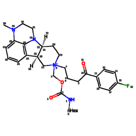 CCCCCCNC(=O)OC[N+]1(CCCC(=O)c2ccc(F)cc2)CC[C@H]2[C@@H](C1)c1cccc3c1N2CCN3C